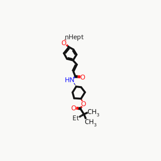 CCCCCCCOc1ccc(/C=C/C(=O)N[C@H]2CC[C@H](OC(=O)C(C)(C)CC)CC2)cc1